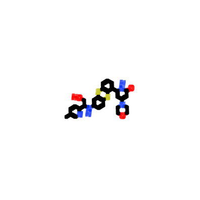 Cc1ccc(C(CO)Nc2ccc3c(c2)Sc2cccc(-c4cc(N5CCOCC5)cc(=O)[nH]4)c2S3)nc1